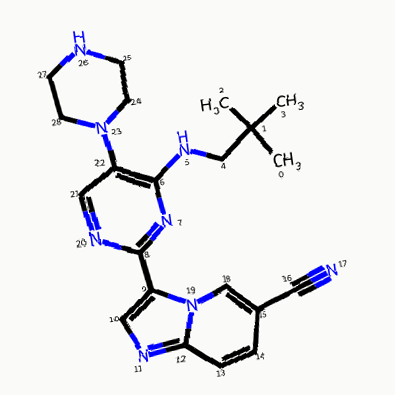 CC(C)(C)CNc1nc(-c2cnc3ccc(C#N)cn23)ncc1N1CCNCC1